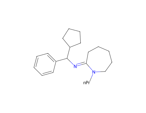 CCCN1CCCCCC1=NC(c1ccccc1)C1CCCC1